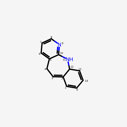 C1=CC2=CCc3cccnc3NC2C=C1